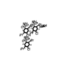 CC(C)c1cc(S(N)(=O)=O)c(C(C)C)cc1C#N.CC(C)c1cc(S(N)(=O)=O)c(C(C)C)cc1Cl.CC(C)c1cc(S(N)(=O)=O)c(C(C)C)cc1Cl.[KH].[KH].[NaH]